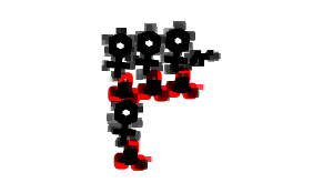 CC(C)(CO[Si](=O)[O-])c1ccccc1.CC(C)(CO[Si](=O)[O-])c1ccccc1.CC(C)(CO[Si](=O)[O-])c1ccccc1.CC(C)(CO[Si](=O)[O-])c1ccccc1.[Zr+4]